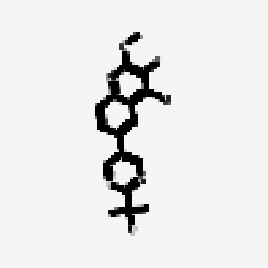 COc1nc2ccc(-c3cnc(C(C)(C)O)nc3)cc2c(Cl)c1F